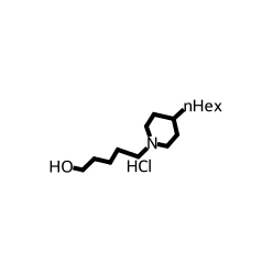 CCCCCCC1CCN(CCCCCO)CC1.Cl